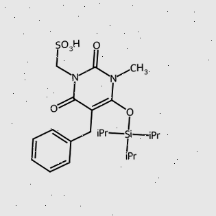 CC(C)[Si](Oc1c(Cc2ccccc2)c(=O)n(CS(=O)(=O)O)c(=O)n1C)(C(C)C)C(C)C